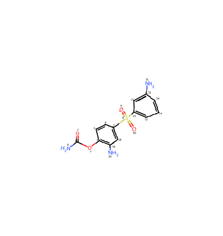 NC(=O)Oc1ccc(S(=O)(=O)c2cccc(N)c2)cc1N